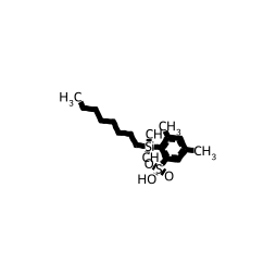 CCCCCCCC[Si](C)(C)c1c(C)cc(C)cc1S(=O)(=O)O